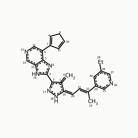 C=c1c(-c2nc3c(C4=CCC=C4)cncc3[nH]2)n[nH]/c1=C/C=C(\C)c1cncc(CC)c1